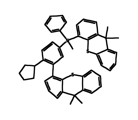 CC1(C)c2ccccc2Sc2c(-c3cc([Si](C)(c4ccccc4)c4cccc5c4Sc4ccccc4C5(C)C)ccc3C3CCCC3)cccc21